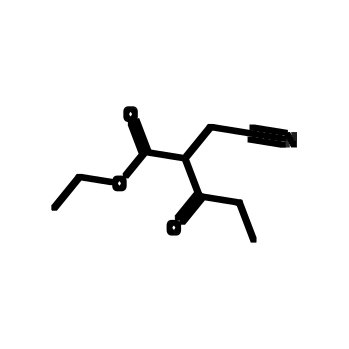 CCOC(=O)C(CC#N)C(=O)CC